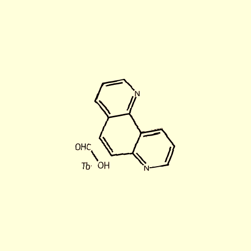 O=CO.[Tb].c1cnc2c(c1)ccc1ncccc12